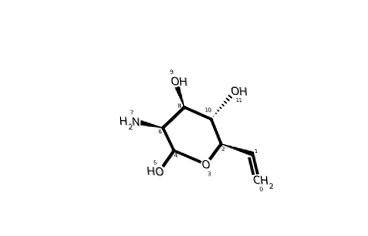 C=C[C@H]1OC(O)[C@@H](N)[C@@H](O)[C@@H]1O